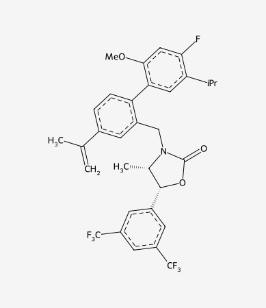 C=C(C)c1ccc(-c2cc(C(C)C)c(F)cc2OC)c(CN2C(=O)O[C@H](c3cc(C(F)(F)F)cc(C(F)(F)F)c3)[C@@H]2C)c1